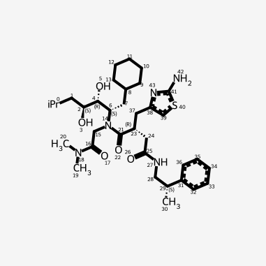 CC(C)C[C@H](O)[C@H](O)[C@H](CC1CCCCC1)N(CC(=O)N(C)C)C(=O)[C@@H](CC(=O)NC[C@@H](C)c1ccccc1)Cc1csc(N)n1